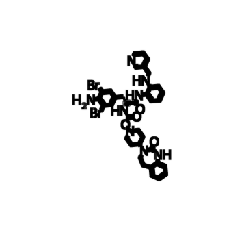 Nc1c(Br)cc(C[C@@H](NC(=O)ON2CCC(N3CCc4ccccc4NC3=O)CC2)C(=O)Nc2ccccc2NCc2cccnc2)cc1Br